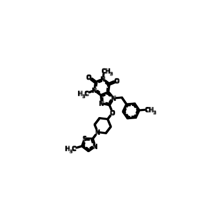 Cc1cccc(Cn2c(OC3CCN(c4ncc(C)s4)CC3)nc3c2c(=O)n(C)c(=O)n3C)c1